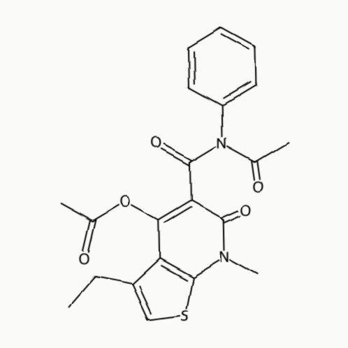 CCc1csc2c1c(OC(C)=O)c(C(=O)N(C(C)=O)c1ccccc1)c(=O)n2C